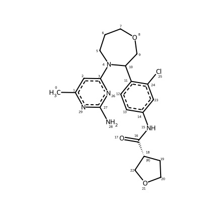 Cc1cc(N2CCCOCC2c2ccc(NC(=O)[C@@H]3CCOC3)cc2Cl)nc(N)n1